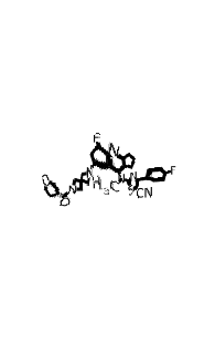 CN(c1nc(-c2ccc(F)cc2)c(C#N)s1)c1c2c(nc3c(F)cc(N4CC5(CN(C(=O)[C@@H]6CCOC6)C5)C4)cc13)CCC2